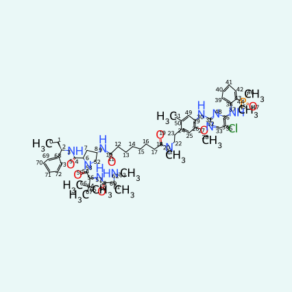 CC[C@@H](NC(=O)C1C[C@H](NC(=O)CCCCCCC(=O)N(C)CCc2cc(OC)c(Nc3ncc(Cl)c(Nc4ccccc4P(C)(C)=O)n3)cc2C)CN1C(=O)[C@@H](NC(=O)[C@H](C)NC)C(C)(C)C)c1ccccc1